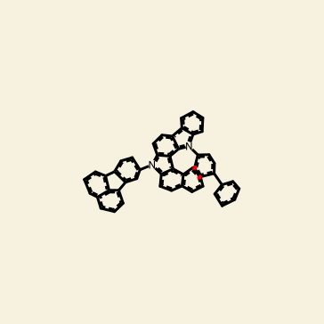 c1ccc(-c2ccc(-n3c4ccccc4c4ccc5c(c6c7ccccc7ccc6n5-c5ccc6c(c5)-c5cccc7cccc-6c57)c43)cc2)cc1